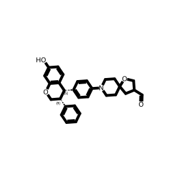 O=CC1COC2(CCN(c3ccc([C@H]4c5ccc(O)cc5OC[C@H]4c4ccccc4)cc3)CC2)C1